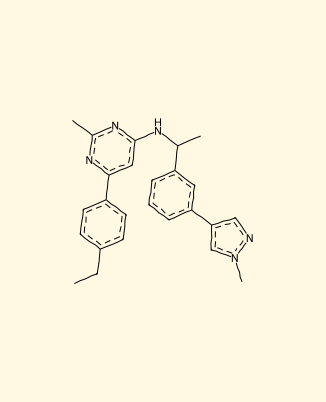 CCc1ccc(-c2cc(NC(C)c3cccc(-c4cnn(C)c4)c3)nc(C)n2)cc1